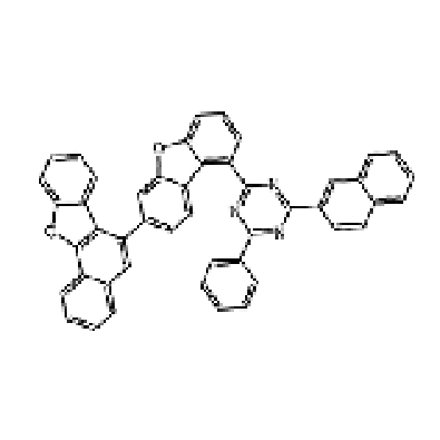 c1ccc(-c2nc(-c3ccc4ccccc4c3)nc(-c3cccc4oc5cc(-c6cc7ccccc7c7oc8ccccc8c67)ccc5c34)n2)cc1